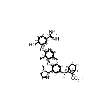 CN1CC=NC1c1cc(NC2C3CCC(C3)C2C(=O)O)ccc1Oc1c(F)cnc(Oc2cc(C(=N)N)ccc2O)c1F